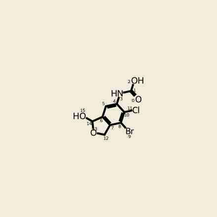 O=C(O)Nc1cc2c(c(Br)c1Cl)COC2O